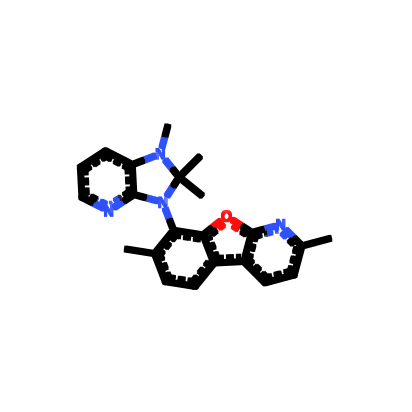 Cc1ccc2c(n1)oc1c(N3c4ncccc4N(C)C3(C)C)c(C)ccc12